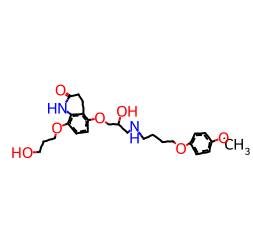 COc1ccc(OCCCCNCC(O)COc2ccc(OCCCO)c3c2CCC(=O)N3)cc1